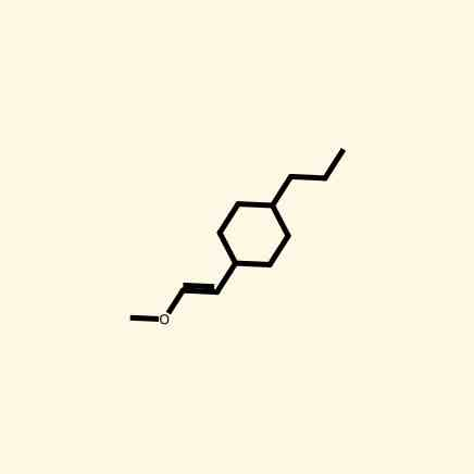 CCCC1CCC(/C=C/OC)CC1